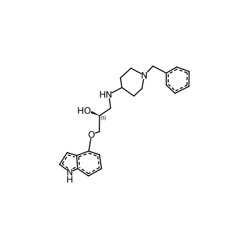 O[C@@H](CNC1CCN(Cc2ccccc2)CC1)COc1cccc2[nH]ccc12